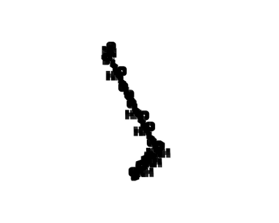 C=CC(=O)Nc1cccc(Nc2nc(Nc3cccc(OCCCNC(=O)CCCC(=O)NCCCOCCOCCOCCCNC(=O)CCCC[C@@H]4SCC5=NC(=O)N=C54)c3)ncc2C)c1